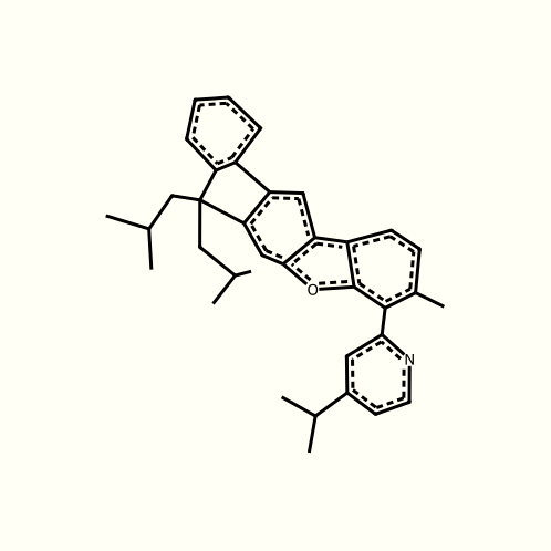 Cc1ccc2c(oc3cc4c(cc32)-c2ccccc2C4(CC(C)C)CC(C)C)c1-c1cc(C(C)C)ccn1